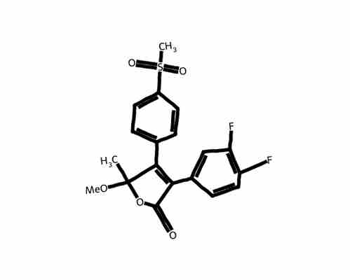 COC1(C)OC(=O)C(c2ccc(F)c(F)c2)=C1c1ccc(S(C)(=O)=O)cc1